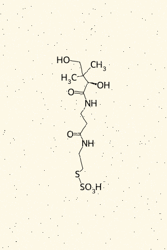 CC(C)(CO)[C@@H](O)C(=O)NCCC(=O)NCCSS(=O)(=O)O